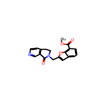 CCC(C)OC(=O)c1cccc2cc(CN3CCc4ccncc4C3=O)oc12